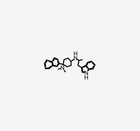 CC(Cc1c[nH]c2ccccc12)NC1CCC(c2ccc3ccccc3c2)(N(C)C)CC1